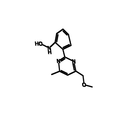 COCc1cc(C)nc(-c2ccccc2NO)n1